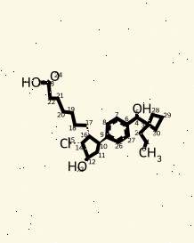 CCCC1(C(O)c2ccc([C@H]3CC(O)[C@H](Cl)[C@@H]3CCCCCCC(=O)O)cc2)CCC1